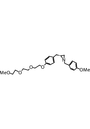 COCCOCCOCCOc1ccc(C[C@H]2CN2Cc2ccc(OC)cc2)cc1